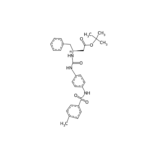 Cc1ccc(S(=O)(=O)Nc2ccc(NC(=O)N[C@H](CC(=O)OC(C)(C)C)Cc3ccccc3)cc2)cc1